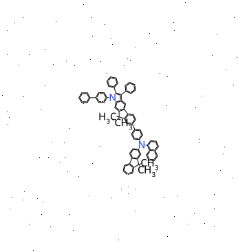 CC1(C)c2ccccc2-c2ccc(N(c3ccc(-c4ccc5c(c4)C(C)(C)c4cc6c(cc4-5)c(-c4ccccc4)c(-c4ccccc4)n6-c4ccc(-c5ccccc5)cc4)cc3)c3cccc4ccccc34)cc21